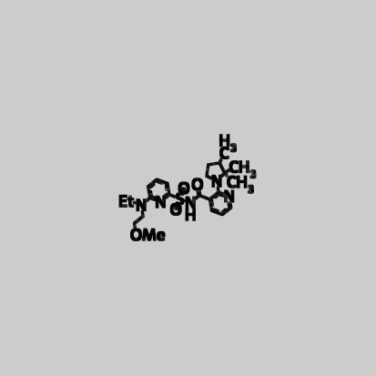 CCN(CCOC)c1cccc(S(=O)(=O)NC(=O)c2cccnc2N2CCC(C)C2(C)C)n1